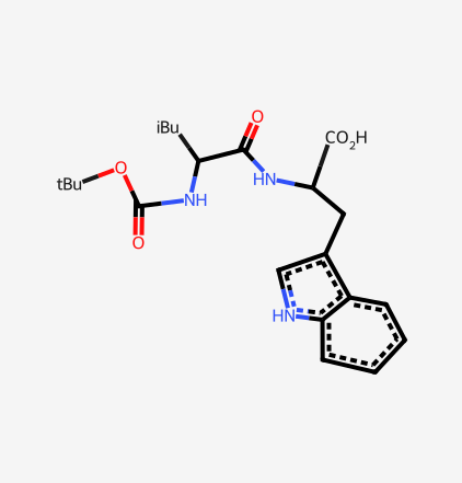 CCC(C)C(NC(=O)OC(C)(C)C)C(=O)NC(Cc1c[nH]c2ccccc12)C(=O)O